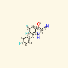 N#Cc1c[nH]c2c(Cc3ccc(F)cc3)c(F)c(F)cc2c1=O